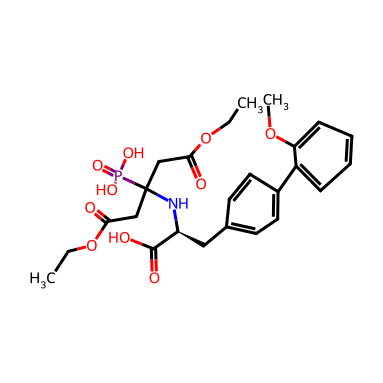 CCOC(=O)CC(CC(=O)OCC)(N[C@@H](Cc1ccc(-c2ccccc2OC)cc1)C(=O)O)P(=O)(O)O